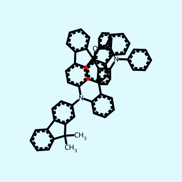 CC1(C)c2ccccc2-c2ccc(N(c3ccc4c(c3)C3(c5ccccc5-4)c4ccccc4N(c4ccccc4)c4ccccc43)c3ccccc3-c3ccc4oc5ccccc5c4c3)cc21